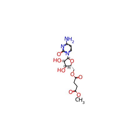 COC(=O)CCC(=O)OC[C@H]1O[C@@H](n2ccc(N)nc2=O)[C@@H](O)[C@@H]1O